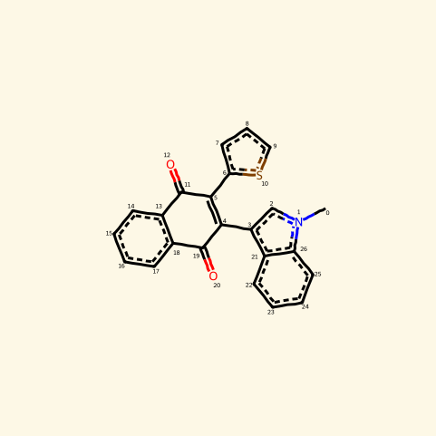 Cn1cc(C2=C(c3cccs3)C(=O)c3ccccc3C2=O)c2ccccc21